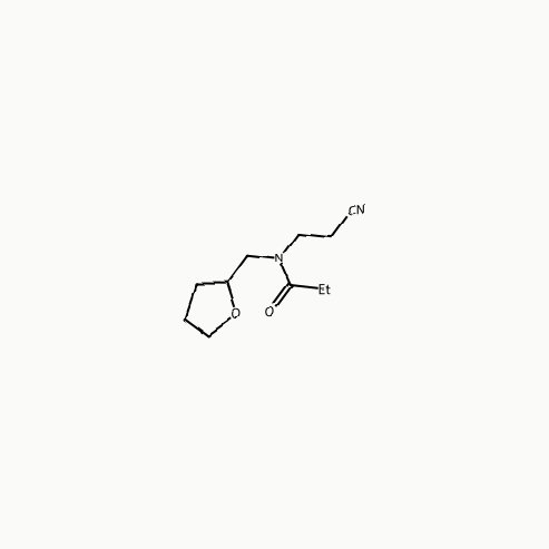 CCC(=O)N(CCC#N)CC1CCCO1